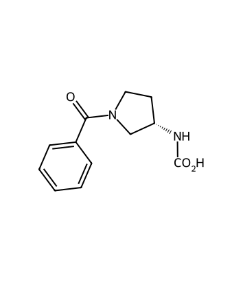 O=C(O)N[C@H]1CCN(C(=O)c2ccccc2)C1